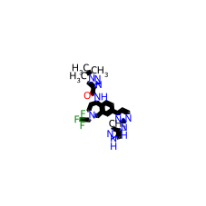 Cc1n[nH]cc1Nc1nccc(-c2ccc3c(c2)CN(CC(F)(F)F)CCC3NC(=O)c2cn(C(C)(C)C)nn2)n1